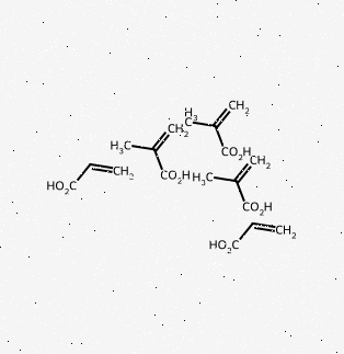 C=C(C)C(=O)O.C=C(C)C(=O)O.C=C(C)C(=O)O.C=CC(=O)O.C=CC(=O)O